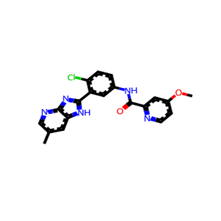 COc1ccnc(C(=O)Nc2ccc(Cl)c(-c3nc4ncc(C)cc4[nH]3)c2)c1